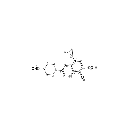 O=CN1CCN(c2cnc3c(=O)c(C(=O)O)cn(C4CC4)c3c2)CC1